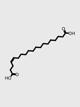 O=C(O)CC/C=C\CCCCCCCCCCCCCC(=O)O